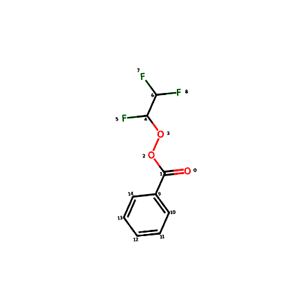 O=C(OOC(F)C(F)F)c1ccccc1